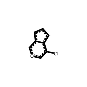 Clc1cocc2cc[c]c1-2